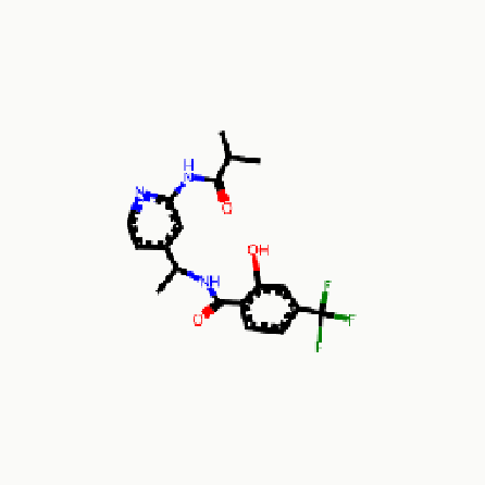 CC(C)C(=O)Nc1cc(C(C)NC(=O)c2ccc(C(F)(F)F)cc2O)ccn1